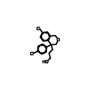 OCCCC1(c2ccc(Cl)cc2)COCc2cc(Cl)ccc21